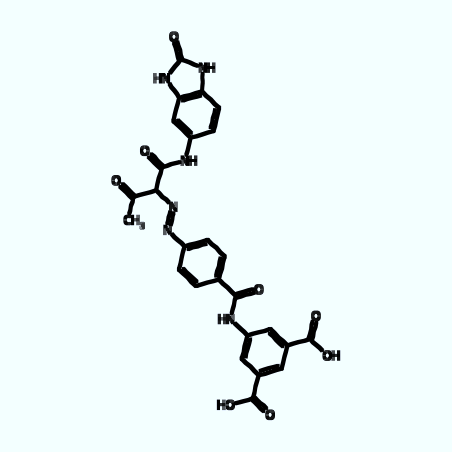 CC(=O)C(N=Nc1ccc(C(=O)Nc2cc(C(=O)O)cc(C(=O)O)c2)cc1)C(=O)Nc1ccc2[nH]c(=O)[nH]c2c1